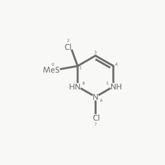 CSC1(Cl)C=CNN(Cl)N1